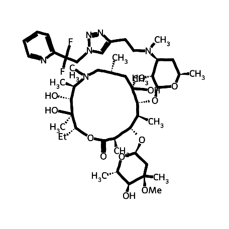 CC[C@H]1OC(=O)[C@H](C)[C@@H](O[C@H]2C[C@@](C)(OC)[C@@H](O)[C@H](C)O2)[C@H](C)[C@@H](O[C@@H]2O[C@H](C)C[C@H](N(C)CCc3cn(CC(F)(F)c4ccccn4)nn3)[C@H]2O)[C@](C)(O)C[C@@H](C)CN(C)[C@H](C)[C@@H](O)[C@]1(C)O